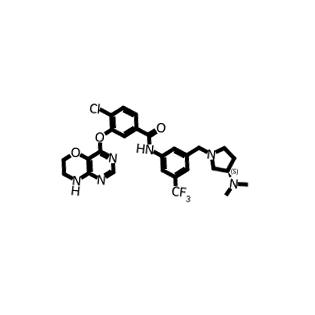 CN(C)[C@H]1CCN(Cc2cc(NC(=O)c3ccc(Cl)c(Oc4ncnc5c4OCCN5)c3)cc(C(F)(F)F)c2)C1